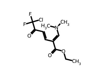 CCOC(=O)C(C=CC(=O)C(F)(F)Cl)=CN(C)C